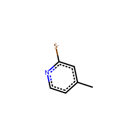 Cc1ccnc([S])c1